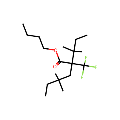 CCCCOC(=O)C(CC(C)(C)CC)(C(F)(F)F)C(C)(C)CC